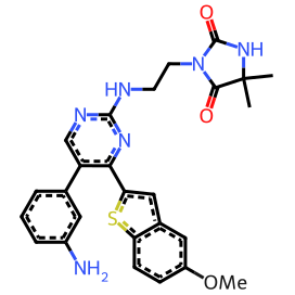 COc1ccc2sc(-c3nc(NCCN4C(=O)NC(C)(C)C4=O)ncc3-c3cccc(N)c3)cc2c1